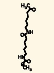 COC(=O)NCCCCCC(=O)NCCCCCC(C)=O